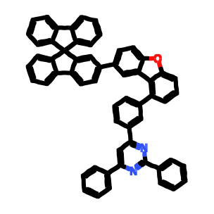 c1ccc(-c2cc(-c3cccc(-c4cccc5oc6ccc(-c7ccc8c(c7)C7(c9ccccc9-c9ccccc97)c7ccccc7-8)cc6c45)c3)nc(-c3ccccc3)n2)cc1